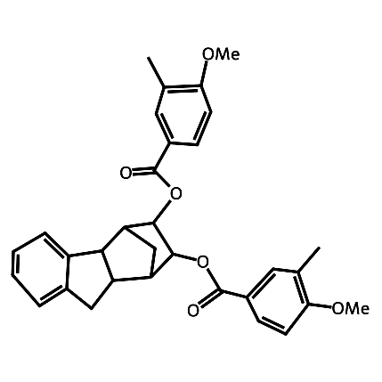 COc1ccc(C(=O)OC2C3CC(C2OC(=O)c2ccc(OC)c(C)c2)C2c4ccccc4CC32)cc1C